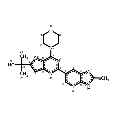 Cc1nc2cc(-c3nc(N4CCOCC4)c4sc(C(C)(C)O)cc4n3)cnc2[nH]1